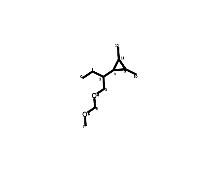 CCC(COCOC)C1C(C)C1C